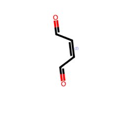 O=C/C=C\C=O